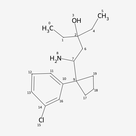 CCC(O)(CC)CC(N)C1(c2cccc(Cl)c2)CCC1